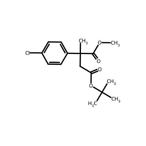 COC(=O)C(C)(CC(=O)OC(C)(C)C)c1ccc(Cl)cc1